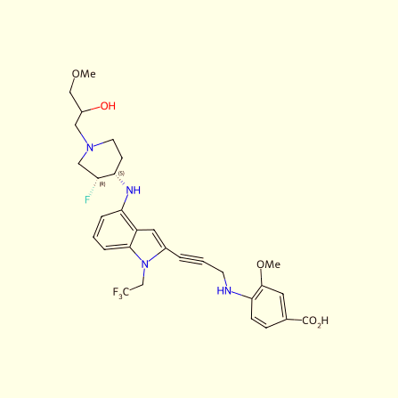 COCC(O)CN1CC[C@H](Nc2cccc3c2cc(C#CCNc2ccc(C(=O)O)cc2OC)n3CC(F)(F)F)[C@H](F)C1